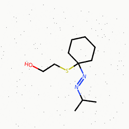 CC(C)N=NC1(SCCO)CCCCC1